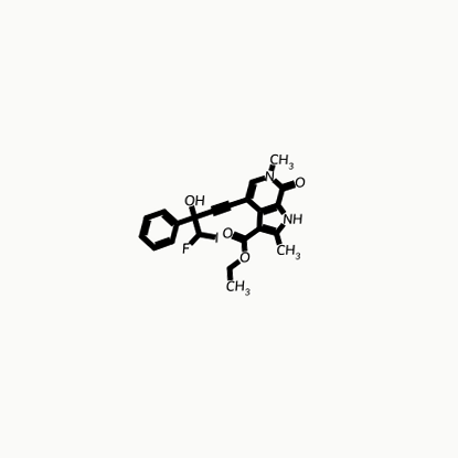 CCOC(=O)c1c(C)[nH]c2c(=O)n(C)cc(C#CC(O)(c3ccccc3)C(F)I)c12